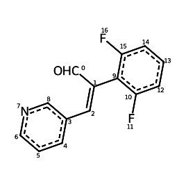 O=CC(=Cc1cccnc1)c1c(F)cccc1F